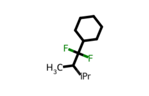 CC(C)C(C)C(F)(F)C1CCCCC1